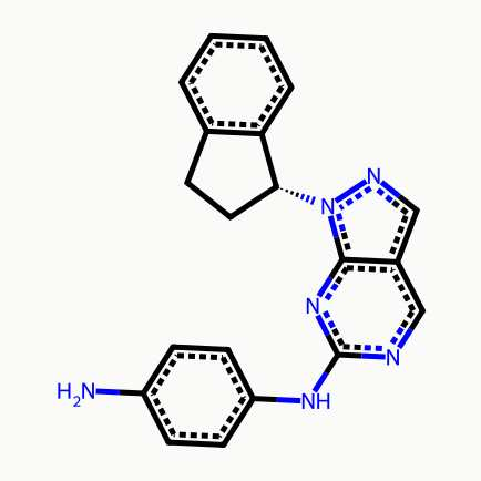 Nc1ccc(Nc2ncc3cnn([C@@H]4CCc5ccccc54)c3n2)cc1